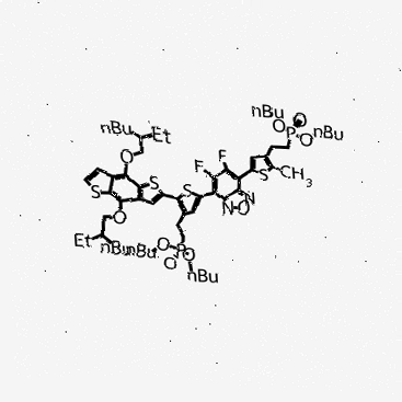 CCCCOP(=O)(CCc1cc(-c2c(F)c(F)c(-c3cc(CCP(=O)(OCCCC)OCCCC)c(-c4cc5c(OCC(CC)CCCC)c6sccc6c(OCC(CC)CCCC)c5s4)s3)c3nonc23)sc1C)OCCCC